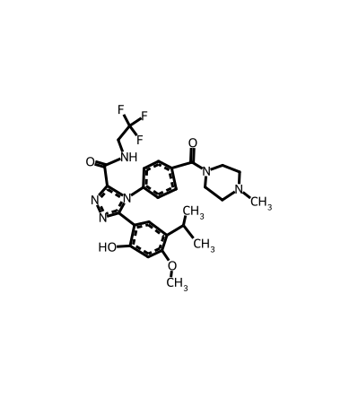 COc1cc(O)c(-c2nnc(C(=O)NCC(F)(F)F)n2-c2ccc(C(=O)N3CCN(C)CC3)cc2)cc1C(C)C